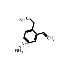 C=Cc1ccccc1CCl.N.N.N.N